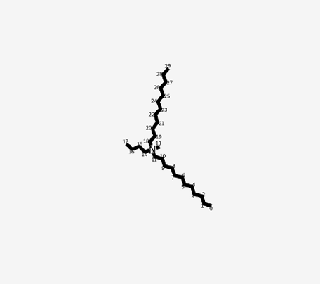 CCCCCCCCCCCC[N+](C)(CCCC)CCCCCCCCCCCC